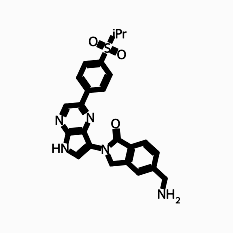 CC(C)S(=O)(=O)c1ccc(-c2cnc3[nH]cc(N4Cc5cc(CN)ccc5C4=O)c3n2)cc1